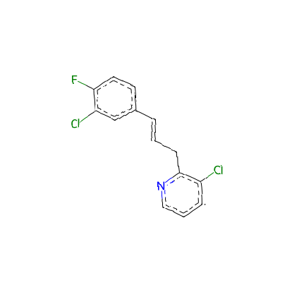 Fc1ccc(C=CCc2ncc[c]c2Cl)cc1Cl